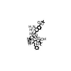 CC[C@H](C)[C@H](NC(=O)C(NC(=O)[C@H](Cc1c[nH]cn1)NC(=O)[C@@H](N)Cc1ccc(C(=O)OC(C)(C)C)cc1CN)C(O)CCc1ccccc1)C(=O)O